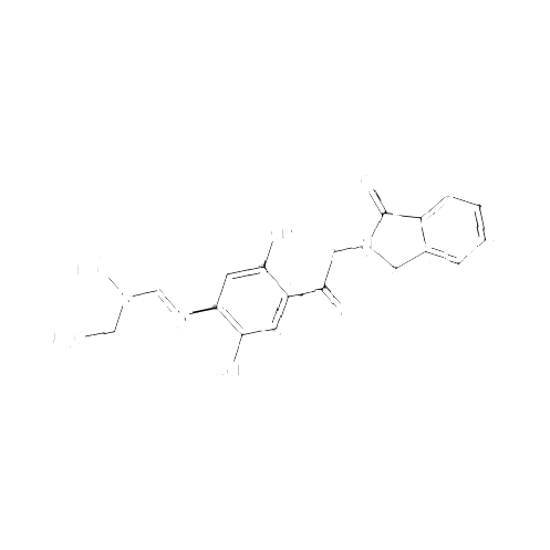 CCN(C)C=Nc1cc(C)c(C(=O)CN2Cc3ccccc3C2=O)cc1C